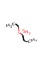 C=COC=CC.O